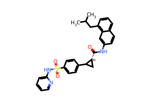 CC(C)Cc1cccc2ccc(NC(=O)[C@@H]3CC3c3ccc(S(=O)(=O)Nc4ccccn4)cc3)cc12